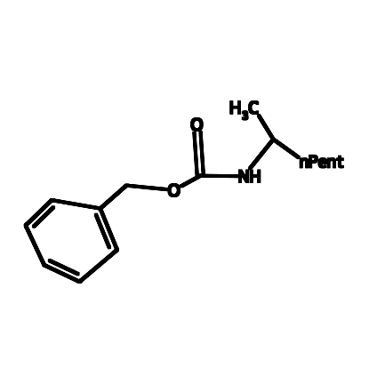 CCCCCC(C)NC(=O)OCc1ccccc1